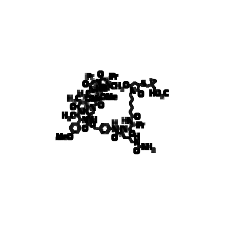 CC[C@H](C)[C@@H]([C@@H](CC(=O)N1C[C@@H](O)C[C@H]1[C@H](OC)[C@@H](C)C(=O)N[C@H](C)C(NC(=O)OCc1ccc(NC(=O)[C@H](CCCNC(N)=O)NC(=O)[C@@H](NC(=O)CCCCCN2C(=O)CC(SCC3(CC(=O)O)CC3)C2=O)C(C)C)cc1)c1ccc(OC)cc1)OC)N(C)C(=O)[C@@H](NC(=O)[C@H](C(C)C)N(C)C)C(C)C